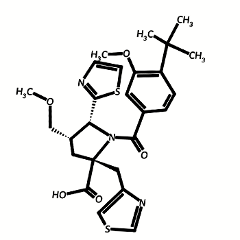 COC[C@H]1C[C@@](Cc2cscn2)(C(=O)O)N(C(=O)c2ccc(C(C)(C)C)c(OC)c2)[C@H]1c1nccs1